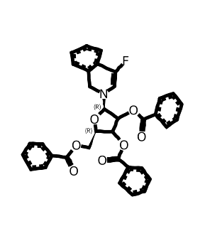 O=C(OC[C@H]1O[C@@H](N2C=C(F)c3ccccc3C2)C(OC(=O)c2ccccc2)C1OC(=O)c1ccccc1)c1ccccc1